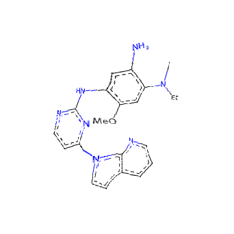 [CH2]CN(C)c1cc(OC)c(Nc2nccc(-n3ccc4cccnc43)n2)cc1N